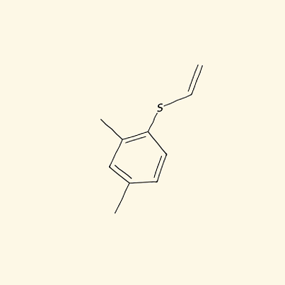 C=CSc1ccc(C)cc1C